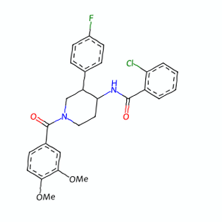 COc1ccc(C(=O)N2CCC(NC(=O)c3ccccc3Cl)C(c3ccc(F)cc3)C2)cc1OC